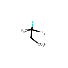 O=C(O)CC(F)(C(F)(F)F)C(F)(F)F